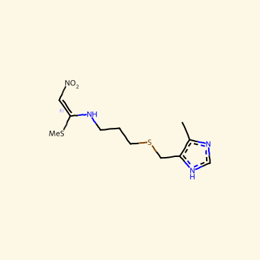 CS/C(=C/[N+](=O)[O-])NCCCSCc1[nH]cnc1C